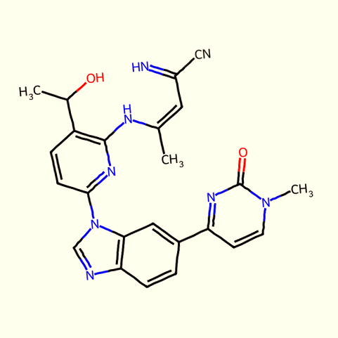 C/C(=C/C(=N)C#N)Nc1nc(-n2cnc3ccc(-c4ccn(C)c(=O)n4)cc32)ccc1C(C)O